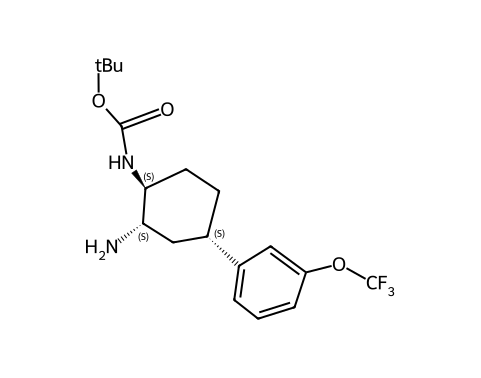 CC(C)(C)OC(=O)N[C@H]1CC[C@H](c2cccc(OC(F)(F)F)c2)C[C@@H]1N